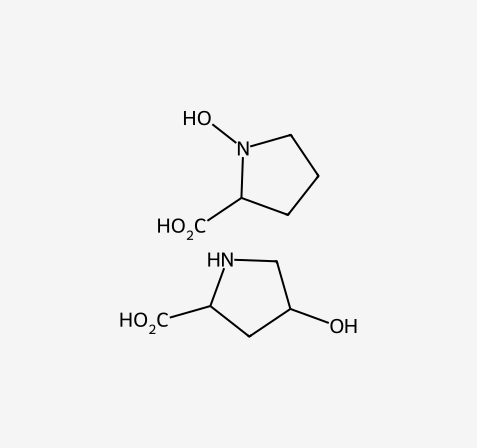 O=C(O)C1CC(O)CN1.O=C(O)C1CCCN1O